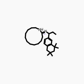 CCC(/N=C1\CCCCCCCCCCCN1)c1ccc2c(c1)C(C)(C)CC(C)(C)C2